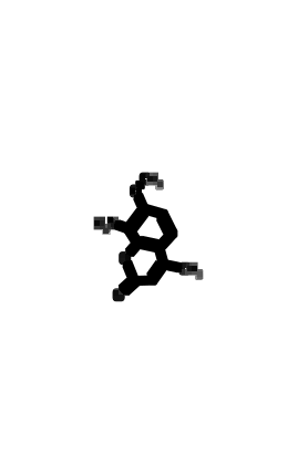 COc1ccc2c(C)cc(=O)oc2c1N